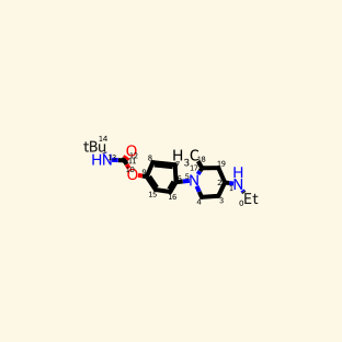 CCNC1CCN(c2ccc(OC(=O)NC(C)(C)C)cc2)C(C)C1